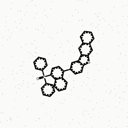 O=P(c1ccccc1)(c1ccccc1)c1ccc(-c2ccc3sc4cc5ccccc5cc4c3c2)c2ccccc12